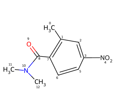 Cc1cc([N+](=O)[O-])ccc1C(=O)N(C)C